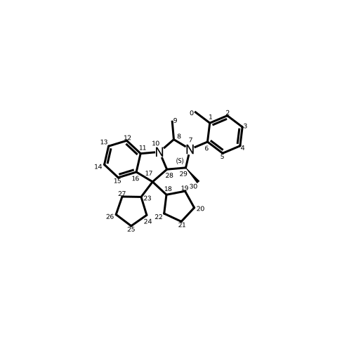 Cc1ccccc1N1C(C)N2c3ccccc3C(C3CCCC3)(C3CCCC3)C2[C@@H]1C